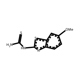 COc1ccc2nc(NC(N)=S)sc2c1